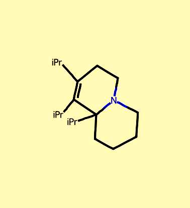 CC(C)C1=C(C(C)C)C2(C(C)C)CCCCN2CC1